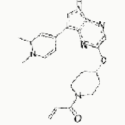 C=CC(=O)N1CCC(Oc2cnc3[nH]cc(C4=CC(C)N(C)C=C4)c3n2)CC1